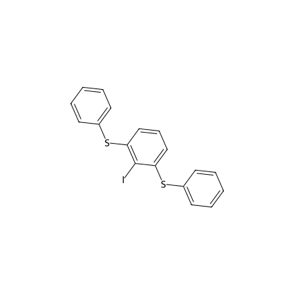 Ic1c(Sc2ccccc2)cccc1Sc1ccccc1